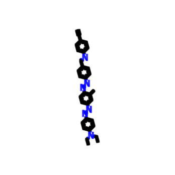 C#Cc1ccc(N=Cc2ccc(N=Nc3ccc(N=Nc4ccc(N(CC)CC)cc4)cc3C)cc2)cc1